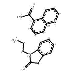 CCCN1C(=O)Cc2ccccc21.O=C(O)c1cccc2ncccc12